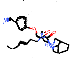 CCCCCCN(C)C(=O)NC1C2CCC1CN(CC(O)COc1ccc(C#N)cc1)C2